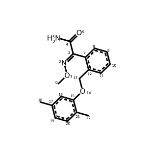 CO/N=C(/C(N)=O)c1ccccc1COc1cc(C)ccc1C